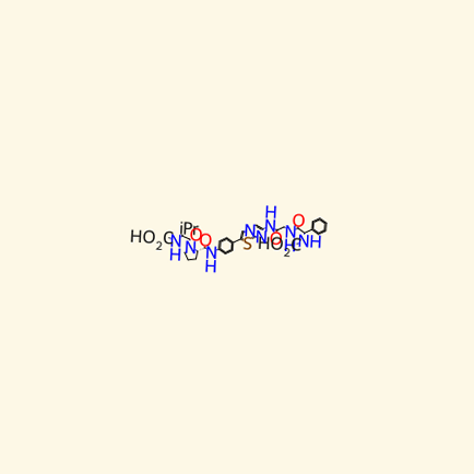 CC(C)[C@H](NC(=O)O)C(=O)N1CCC[C@H]1C(=O)Nc1ccc(-c2cn3cc(NC(=O)CNC(=O)[C@H](NC(=O)O)c4ccccc4)nc3s2)cc1